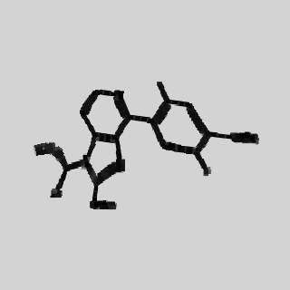 CCC(CC)n1c(OC)nc2c(-c3cc(F)c(OC)cc3C)nccc21